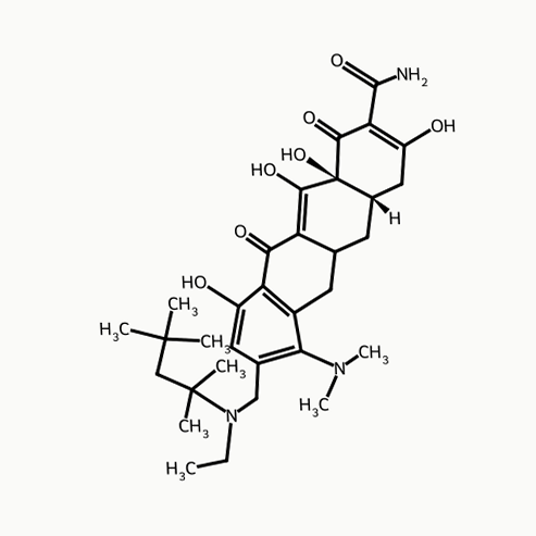 CCN(Cc1cc(O)c2c(c1N(C)C)CC1C[C@H]3CC(O)=C(C(N)=O)C(=O)[C@@]3(O)C(O)=C1C2=O)C(C)(C)CC(C)(C)C